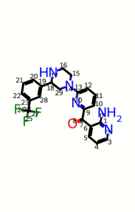 Nc1ncccc1C(=O)c1cccc(N2CCNC(c3cccc(C(F)(F)F)c3)C2)n1